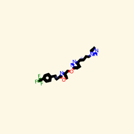 FC(F)(F)c1ccc(/C=C/c2nc(COc3ccc(/C=C/CCn4ccnn4)nn3)co2)cc1